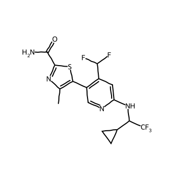 Cc1nc(C(N)=O)sc1-c1cnc(NC(C2CC2)C(F)(F)F)cc1C(F)F